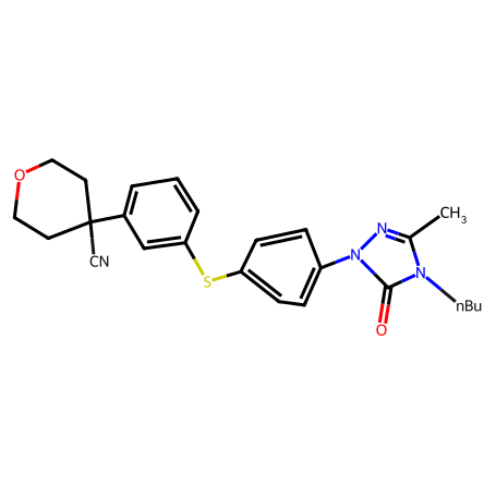 CCCCn1c(C)nn(-c2ccc(Sc3cccc(C4(C#N)CCOCC4)c3)cc2)c1=O